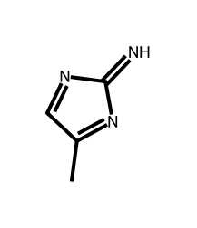 CC1=NC(=N)N=C1